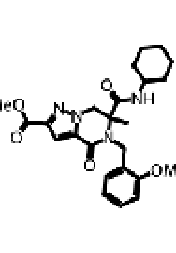 COC(=O)c1cc2n(n1)CC(C)(C(=O)NC1CCCCC1)N(Cc1ccccc1OC)C2=O